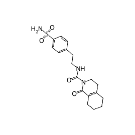 NS(=O)(=O)c1ccc(CCNC(=O)N2CCC3=C(CCCC3)C2=O)cc1